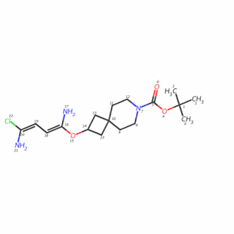 CC(C)(C)OC(=O)N1CCC2(CC1)CC(O/C(N)=C/C=C(\N)Cl)C2